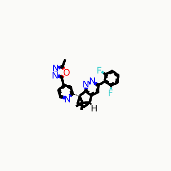 Cc1nnc(-c2ccnc([C@]34CC[C@@H](c5cc(-c6c(F)cccc6F)nnc53)C4(C)C)c2)o1